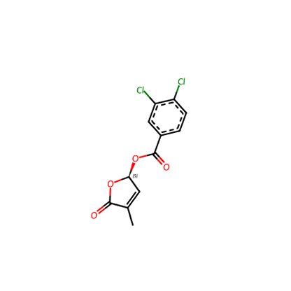 CC1=C[C@H](OC(=O)c2ccc(Cl)c(Cl)c2)OC1=O